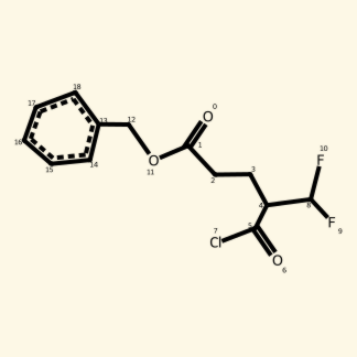 O=C(CCC(C(=O)Cl)C(F)F)OCc1ccccc1